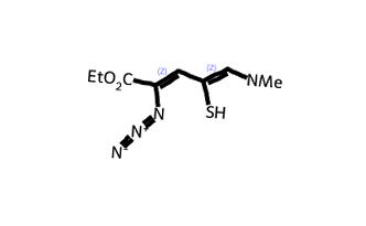 CCOC(=O)/C(=C/C(S)=C/NC)N=[N+]=[N-]